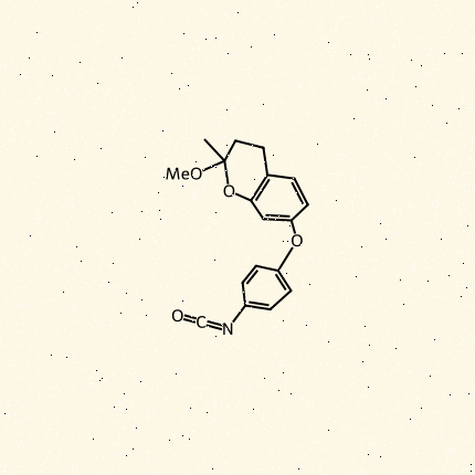 COC1(C)CCc2ccc(Oc3ccc(N=C=O)cc3)cc2O1